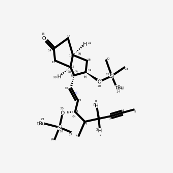 [2H]C([2H])(C#CC)C(C)[C@@H](/C=C/[C@@H]1[C@H]2CC(=O)C[C@H]2C[C@H]1O[Si](C)(C)C(C)(C)C)O[Si](C)(C)C(C)(C)C